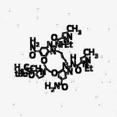 CCn1nc(C)cc1C(=O)Nc1nc2cc(C(N)=O)cc3c2n1C/C=C/Cn1c(NC(=O)c2cc(C)nn2CC)nc2cc(C(N)=O)cc(c21)OCC(N1CCC(O[Si](C)(C)C(C)(C)C)C1)CO3